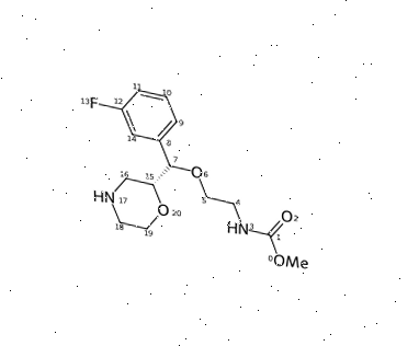 COC(=O)NCCOC(c1cccc(F)c1)[C@H]1CNCCO1